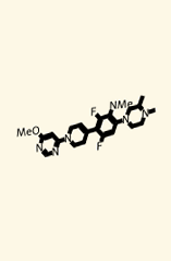 CNc1c(N2CCN(C)C(C)C2)cc(F)c(C2=CCN(c3cc(OC)ncn3)CC2)c1F